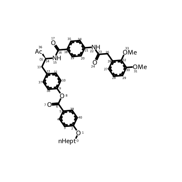 CCCCCCCOc1ccc(C(=O)Oc2ccc(C[C@H](NC(=O)c3ccc(NC(=O)Cc4cccc(OC)c4OC)cc3)C(C)=O)cc2)cc1